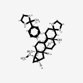 CO[C@@]12C[C@@H]1C[C@H]1[C@@H]3CC[C@@]4(O)CC5(CCC4=C3[C@@H](c3ccc(C4(C)OCCO4)cc3)C[C@@]12C)OCCO5